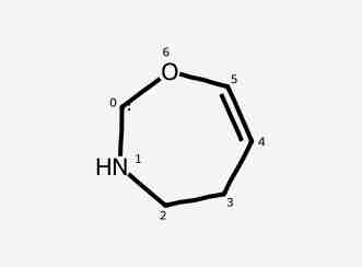 [C]1NCCC=CO1